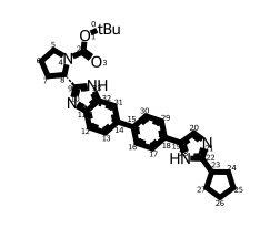 CC(C)(C)OC(=O)N1CCC[C@H]1c1nc2ccc(-c3ccc(-c4cnc(C5CCCC5)[nH]4)cc3)cc2[nH]1